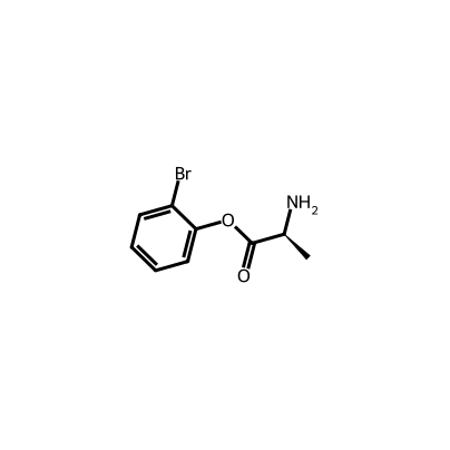 C[C@H](N)C(=O)Oc1ccccc1Br